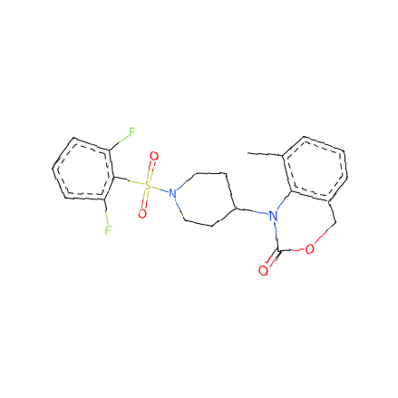 Cc1cccc2c1N(C1CCN(S(=O)(=O)c3c(F)cccc3F)CC1)C(=O)OC2